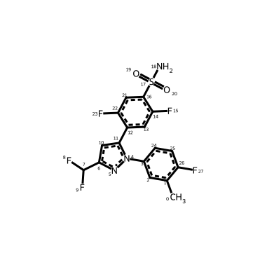 Cc1cc(-n2nc(C(F)F)cc2-c2cc(F)c(S(N)(=O)=O)cc2F)ccc1F